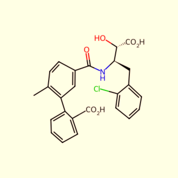 Cc1ccc(C(=O)N[C@H](Cc2ccccc2Cl)[C@H](O)C(=O)O)cc1-c1ccccc1C(=O)O